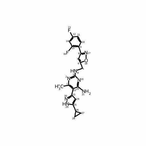 Cc1nc(NCc2cc(-c3ccc(F)cc3F)no2)nc(N)c1-c1cc(C2CC2)[nH]n1